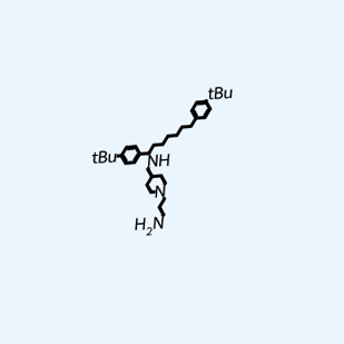 CC(C)(C)c1ccc(CCCCCCC(NCC2CCN(CCCN)CC2)c2ccc(C(C)(C)C)cc2)cc1